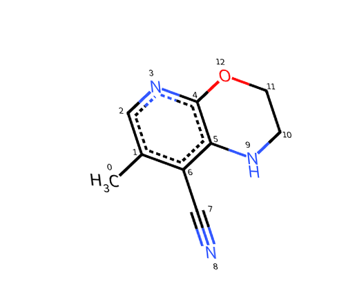 Cc1cnc2c(c1C#N)NCCO2